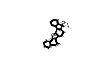 CC1(C)c2ccccc2-c2c1ccc1c2oc2c3ccccc3cc(Cl)c12